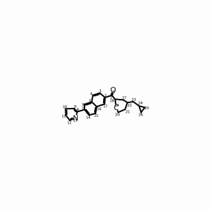 O=C(c1ccc2cc(-c3ccccn3)ccc2c1)C1CCCC(CC2CC2)C1